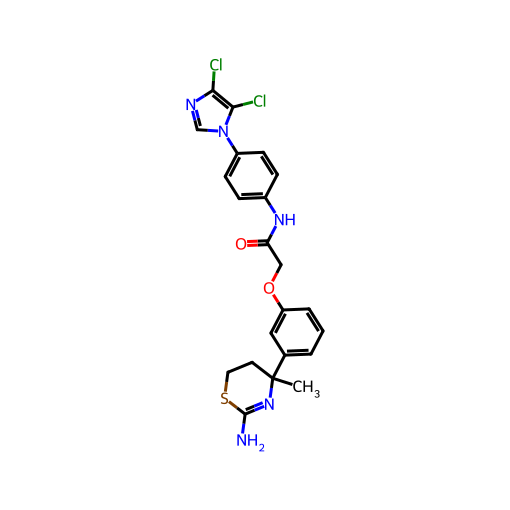 CC1(c2cccc(OCC(=O)Nc3ccc(-n4cnc(Cl)c4Cl)cc3)c2)CCSC(N)=N1